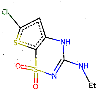 CCNC1=NS(=O)(=O)c2sc(Cl)cc2N1